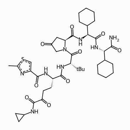 Cc1nc(C(=O)N[C@@H](CCC(=O)C(=O)NC2CC2)C(=O)N[C@H](C(=O)N2CC(=O)C[C@H]2C(=O)N[C@H](C(=O)N[C@H](C(N)=O)C2CCCCC2)C2CCCCC2)C(C)(C)C)cs1